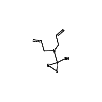 C=CCN(CC=C)C1(S)SS1